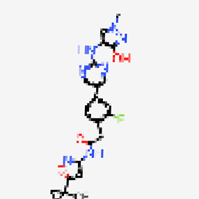 Cn1cc(Nc2ncc(-c3ccc(CC(=O)Nc4cc(C5(C(F)(F)F)CC5)on4)c(F)c3)cn2)c(O)n1